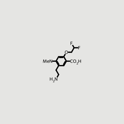 CNc1cc(OCC(F)F)c(C(=O)O)cc1CCN